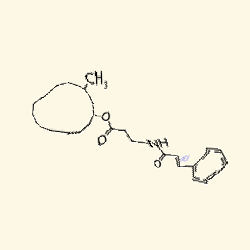 CC1CCCCCCCCCCC(OC(=O)CCNC(=O)/C=C/c2ccccc2)C1